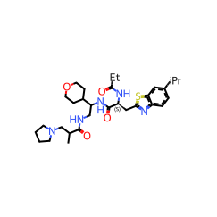 CCC(=O)N[C@@H](Cc1nc2ccc(C(C)C)cc2s1)C(=O)NC(CNC(=O)C(C)CN1CCCC1)C1CCOCC1